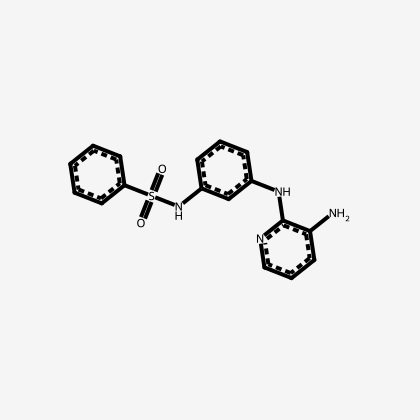 Nc1cccnc1Nc1cccc(NS(=O)(=O)c2ccccc2)c1